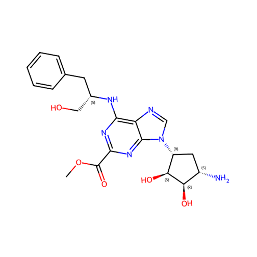 COC(=O)c1nc(N[C@H](CO)Cc2ccccc2)c2ncn([C@@H]3C[C@H](N)[C@@H](O)[C@H]3O)c2n1